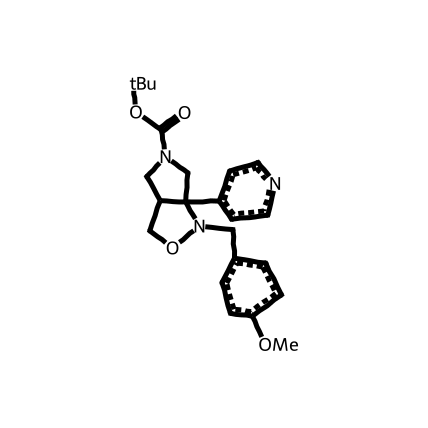 COc1ccc(CN2OCC3CN(C(=O)OC(C)(C)C)CC32c2ccncc2)cc1